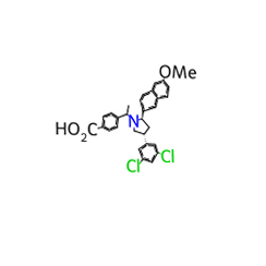 COc1ccc2cc([C@H]3C[C@H](c4cc(Cl)cc(Cl)c4)CN3C(C)c3ccc(C(=O)O)cc3)ccc2c1